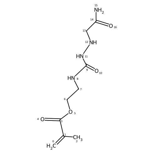 C=C(C)C(=O)OCCNC(=O)NNCC(N)=O